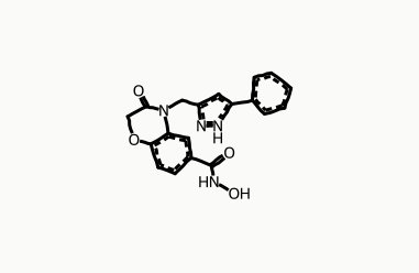 O=C(NO)c1ccc2c(c1)N(Cc1cc(-c3ccccc3)[nH]n1)C(=O)CO2